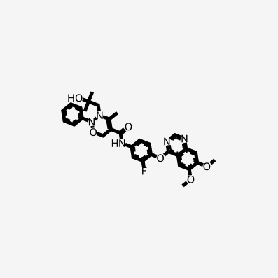 COc1cc2ncnc(Oc3ccc(NC(=O)C4=C(C)N(CC(C)(C)O)N(c5ccccc5)OC4)cc3F)c2cc1OC